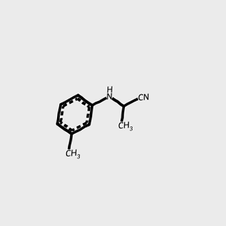 Cc1cccc(NC(C)C#N)c1